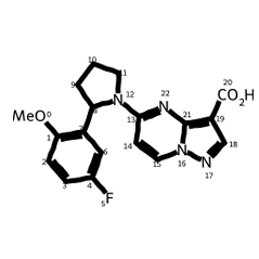 COc1ccc(F)cc1C1CCCN1c1ccn2ncc(C(=O)O)c2n1